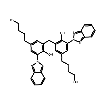 OCCCCc1cc(Cc2cc(CCCCO)cc(-n3nc4ccccc4n3)c2O)c(O)c(-n2nc3ccccc3n2)c1